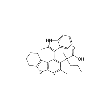 CCCC(C)(C(=O)O)c1c(C)nc2sc3c(c2c1-c1c(C)[nH]c2ccccc12)CCCC3